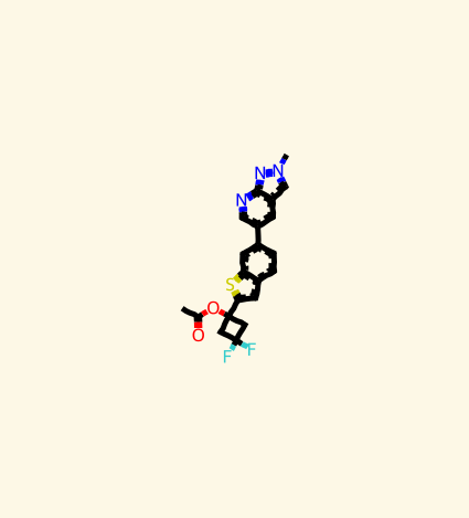 CC(=O)OC1(c2cc3ccc(-c4cnc5nn(C)cc5c4)cc3s2)CC(F)(F)C1